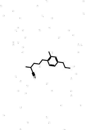 CCCc1ccc(CCCC(C)C#N)c(C)c1